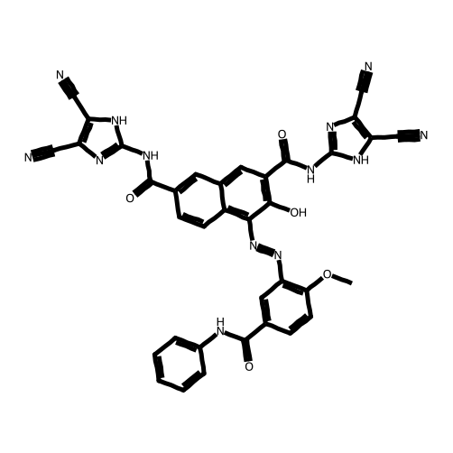 COc1ccc(C(=O)Nc2ccccc2)cc1N=Nc1c(O)c(C(=O)Nc2nc(C#N)c(C#N)[nH]2)cc2cc(C(=O)Nc3nc(C#N)c(C#N)[nH]3)ccc12